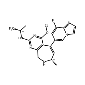 CCOc1nc(N[C@H](C)C(F)(F)F)nc2c1C(c1cc(F)c3nccn3c1)=C[C@@H](C)NC2